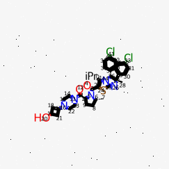 CC(C)C1=C(C(=O)N2[C@H](C)CC[C@H]2C(=O)N2CCN(C3CC(O)C3)CC2)SC2=N[C@@](C)(c3ccc(Cl)cc3)[C@@H](c3ccc(Cl)cc3)N21